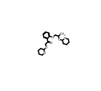 CC(COc1ccccc1C(=O)COC1CCCCO1)OC1CCCCO1